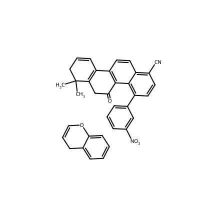 C1=COc2ccccc2C1.CC1(C)CC=CC2=C1CC(=O)c1c2ccc2c(C#N)ccc(-c3cccc([N+](=O)[O-])c3)c12